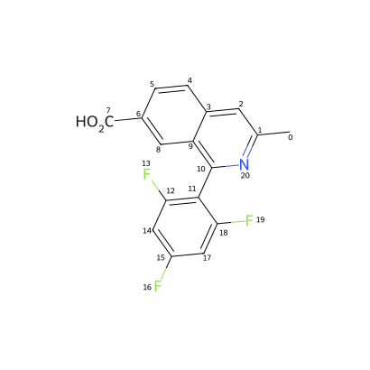 Cc1cc2ccc(C(=O)O)cc2c(-c2c(F)cc(F)cc2F)n1